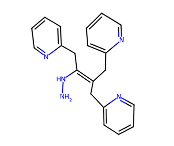 NNC(Cc1ccccn1)=C(Cc1ccccn1)Cc1ccccn1